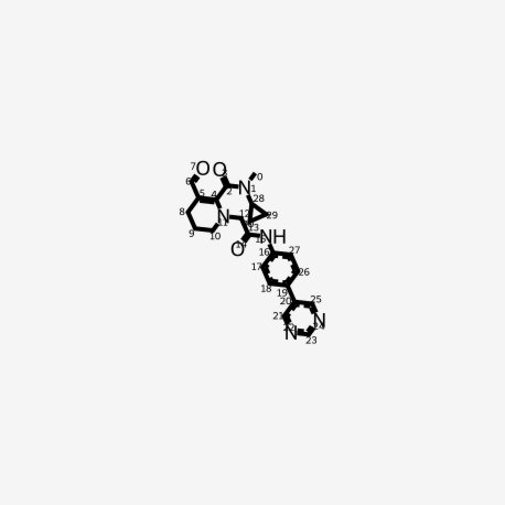 CN(C(=O)C1=C(C=O)CCCN1CC(=O)Nc1ccc(-c2cncnc2)cc1)C1CC1